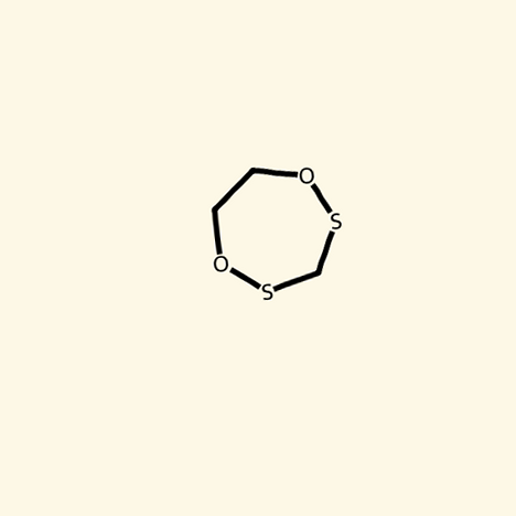 C1COSCSO1